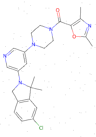 Cc1nc(C)c(C(=O)N2CCN(c3cncc(N4Cc5ccc(Cl)cc5C4(C)C)c3)CC2)o1